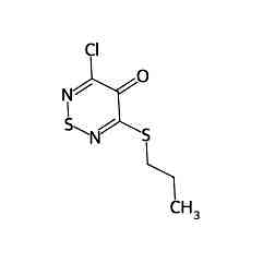 CCCSc1nsnc(Cl)c1=O